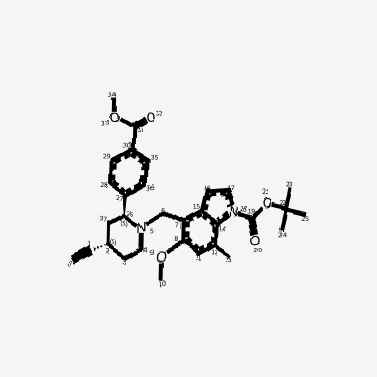 C#C[C@H]1CCN(Cc2c(OC)cc(C)c3c2ccn3C(=O)OC(C)(C)C)[C@H](c2ccc(C(=O)OC)cc2)C1